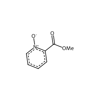 COC(=O)c1cccc[n+]1[O-]